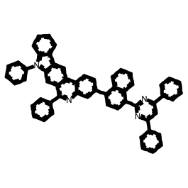 c1ccc(-c2cc(-c3ccccc3)nc(-c3ccc(-c4ccc5c(c4)nc(-c4ccccc4)c4cc6c(cc45)c4ccccc4n6-c4ccccc4)c4ccccc34)n2)cc1